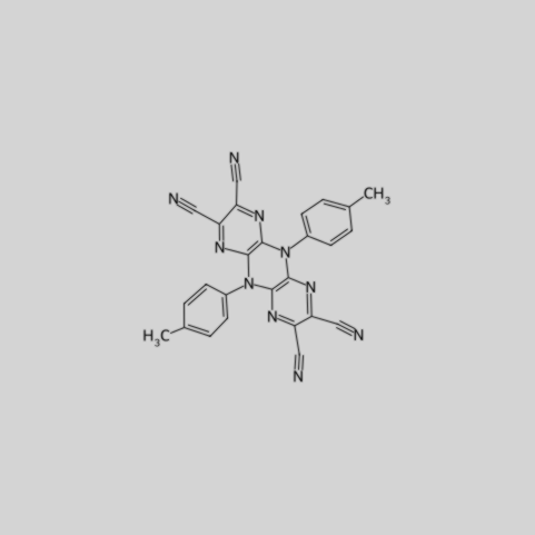 Cc1ccc(N2c3nc(C#N)c(C#N)nc3N(c3ccc(C)cc3)c3nc(C#N)c(C#N)nc32)cc1